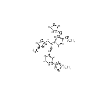 COc1ccc([C@@H](C#Cc2cccc(-c3nc(C)no3)c2)Cc2nc(C)co2)cc1OC1CCCC1